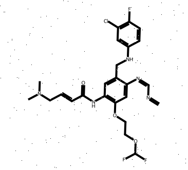 C=N/C=N\c1cc(OCCOC(F)F)c(NC(=O)/C=C/CN(C)C)cc1CNc1ccc(F)c(Cl)c1